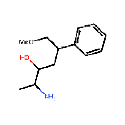 COCC(CC(O)C(C)N)c1ccccc1